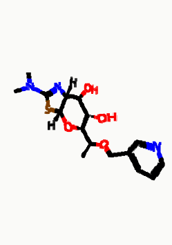 C[C@H](OCc1cccnc1)[C@H]1O[C@@H]2SC(N(C)C)=N[C@@H]2[C@@H](O)[C@@H]1O